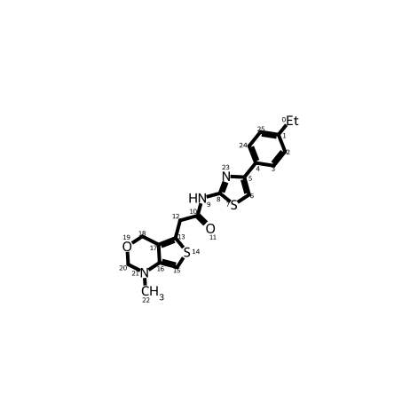 CCc1ccc(-c2csc(NC(=O)Cc3scc4c3COCN4C)n2)cc1